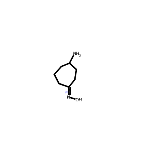 NC1CCC/C(=N/O)CC1